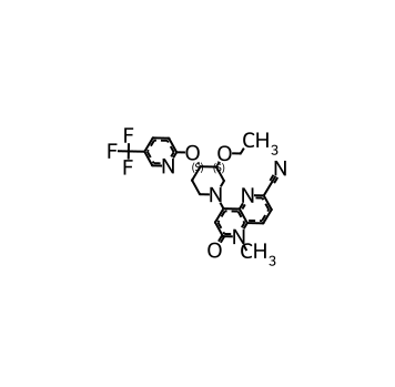 CCO[C@H]1CN(c2cc(=O)n(C)c3ccc(C#N)nc23)CC[C@@H]1Oc1ccc(C(F)(F)F)cn1